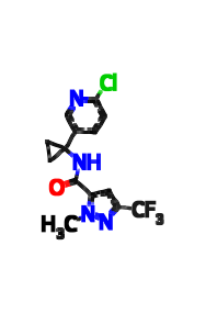 Cn1nc(C(F)(F)F)cc1C(=O)NC1(c2ccc(Cl)nc2)CC1